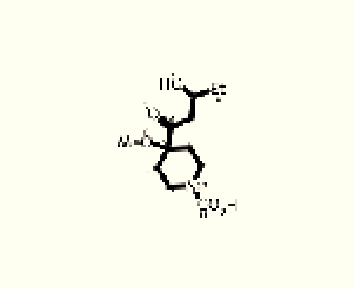 CCC(O)CC(=O)C1(OC)CCN(C(=O)O)CC1